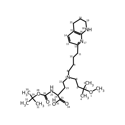 COC(C)(C)CCN(CCCCc1ccc2c(n1)NCCC2)CCC(NC(=O)OC(C)(C)C)C(=O)O